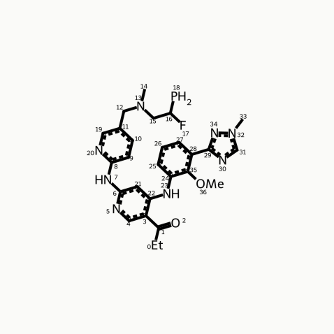 CCC(=O)c1cnc(Nc2ccc(CN(C)CC(F)P)cn2)cc1Nc1cccc(-c2ncn(C)n2)c1OC